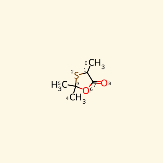 CC1SC(C)(C)OC1=O